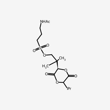 CC(=O)NCCCS(=O)(=O)OCC(C)(C)[C@H]1OC(=O)C(C(C)C)OC1=O